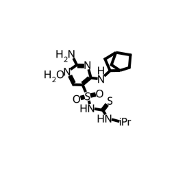 CC(C)NC(=S)NS(=O)(=O)c1cnc(N)nc1NC1CC2CCC1C2.O